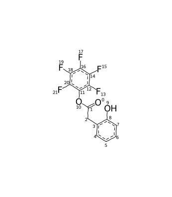 O=C(Cc1ccccc1O)Oc1c(F)c(F)c(F)c(F)c1F